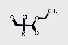 CCOC(=O)[C](Cl)([K])C=O